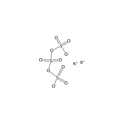 O=S(=O)([O-])OS(=O)(=O)OS(=O)(=O)[O-].[K+].[K+]